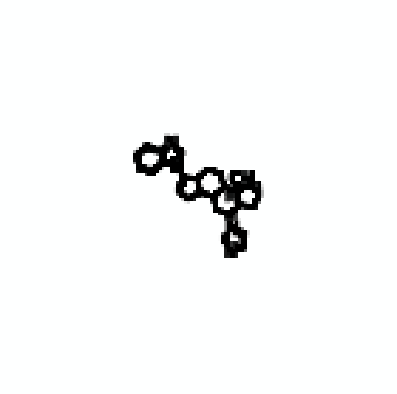 C[C@]12CCCC1[C@H](n1ccnc1)CC1C3CC=C(n4cnc5ccccc54)C3CCC12